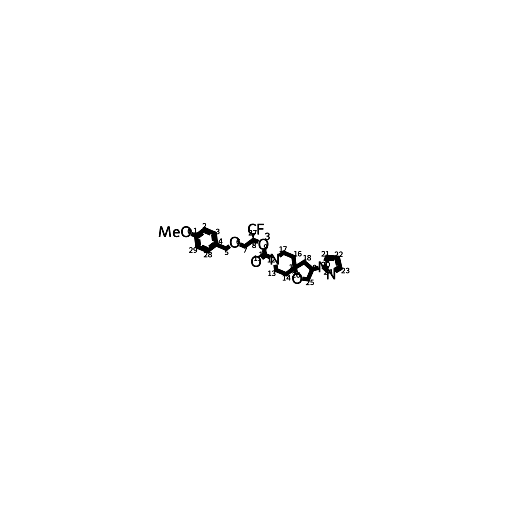 COc1ccc(COC[C@@H](OC(=O)N2CCC3(CC2)CC(n2cccn2)CO3)C(F)(F)F)cc1